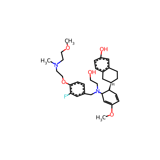 COCCN(C)CCOc1ccc(CN(CCO)C2C=C(OC)C=CC2[C@@H]2CCc3cc(O)ccc3C2)cc1F